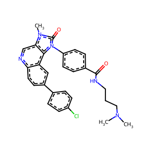 CN(C)CCCNC(=O)c1ccc(-n2c(=O)n(C)c3cnc4ccc(-c5ccc(Cl)cc5)cc4c32)cc1